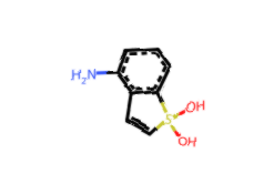 Nc1cccc2c1C=CS2(O)O